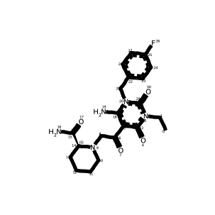 CCn1c(=O)c(C(=O)CN2CCCC[C@H]2C(N)=O)c(N)n(Cc2ccc(F)cc2)c1=O